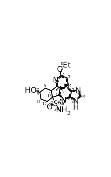 CCOc1cccc(C2CC(O)CCC2(c2cnc3nc[nH]c3n2)S(N)(=O)=O)n1